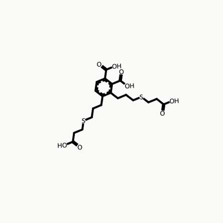 O=C(O)CCSCCCc1ccc(C(=O)O)c(C(=O)O)c1CCCSCCC(=O)O